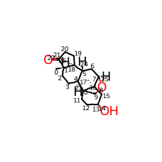 C[C@]12CC[C@H]3[C@@H](C[C@H]4OC[C@@]35CCC(O)C[C@]45C)[C@@H]1CCC2=O